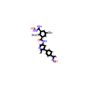 COc1c(C(=N)NO)cc(C(C)(C)C)cc1C(=O)Nc1cnc(C)c(-c2ccc(/C(C)=N/O)cc2)c1